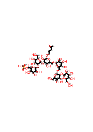 CC(=O)CCCO[C@@H]1OC(CO[C@H]2OC(CO[C@H]3OC(CO)[C@@H](O)[C@H](O)C3O[C@H]3OC(COO)[C@@H](O)[C@H](O)C3O)[C@@H](O)[C@H](O)C2O)[C@@H](O)[C@H](O[C@H]2OC(CO)[C@@H](O)[C@H](O)C2O[C@H]2OC(COP(=O)(O)O)[C@@H](O)[C@H](O)C2O)C1O